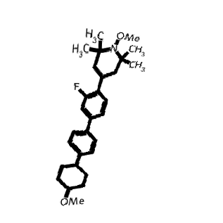 COC1CCC(c2ccc(-c3ccc(C4CC(C)(C)N(OC)C(C)(C)C4)c(F)c3)cc2)CC1